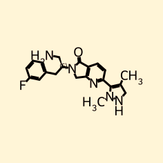 CC1=C(c2ccc3c(n2)CN([C@H](CN)Cc2cccc(F)c2)C3=O)N(C)NC1